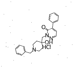 Cl.O=c1c(-c2ccccc2)ccnn1CC1(O)CCN(Cc2ccccc2)CC1